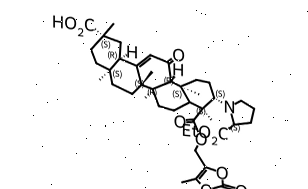 CCOC(=O)[C@@H]1CCCN1[C@H]1CC[C@@]2(C)C(CC[C@]3(C)[C@@H]2C(=O)C=C2[C@@H]4C[C@@](C)(C(=O)O)CC[C@]4(C)CC[C@]23C)[C@]1(C)C(=O)OCc1oc(=O)oc1C